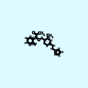 CC(=O)N(OCC1CCN(CCn2cccn2)CC1C)c1ccccc1F